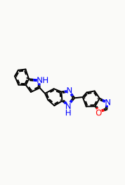 c1ccc2[nH]c(-c3ccc4[nH]c(-c5ccc6ncoc6c5)nc4c3)cc2c1